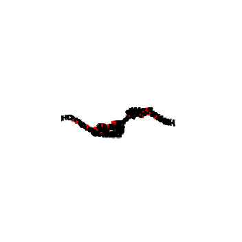 COC(=O)c1cc(C#Cc2ccc3cc(OCCCCCCCCCCCO)ccc3c2)ccc1OCCCCCCOc1ccc(C#Cc2ccc3cc(OCCCCCCCCCCCO)ccc3c2)cc1C(=O)OC